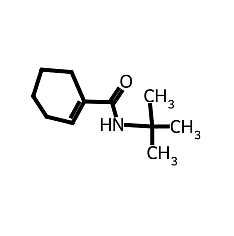 CC(C)(C)NC(=O)C1=CCCCC1